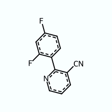 N#Cc1cccnc1-c1ccc(F)cc1F